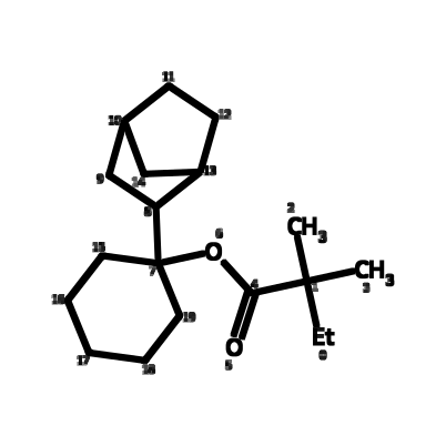 CCC(C)(C)C(=O)OC1(C2CC3CCC2C3)CCCCC1